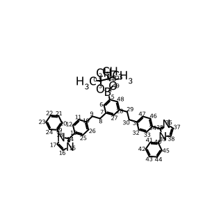 CC1(C)OB(c2cc(CCc3ccc(-c4nccn4-c4ccccc4)cc3)cc(CCc3ccc(-c4nccn4-c4ccccc4)cc3)c2)OC1(C)C